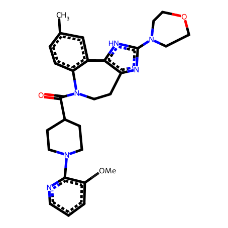 COc1cccnc1N1CCC(C(=O)N2CCc3nc(N4CCOCC4)[nH]c3-c3cc(C)ccc32)CC1